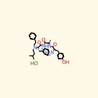 CC(C)CCN(CCc1ccccc1)[C@@H](Cc1ccccc1)C(=O)NC(=O)[C@@H](C)NC(=O)[C@@H](N)Cc1ccc(O)cc1.Cl